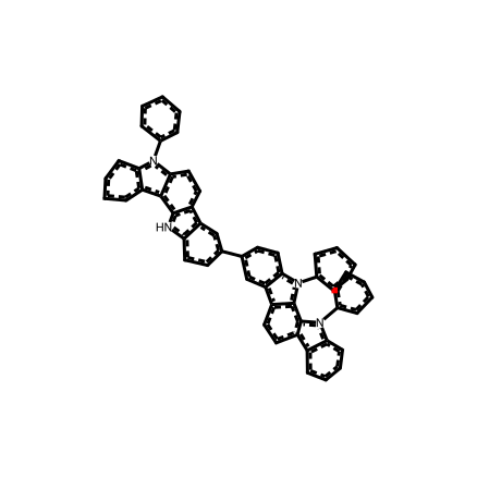 c1ccc(-n2c3ccccc3c3c4[nH]c5ccc(-c6ccc7c(c6)c6ccc8c9ccccc9n(-c9ccccc9)c8c6n7-c6ccccc6)cc5c4ccc32)cc1